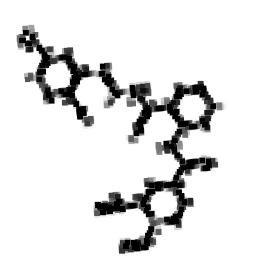 COc1ccc(C(=O)Nc2ccccc2C(=O)NN=Cc2cc(C(F)(F)F)ccc2F)cc1OC